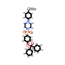 COc1ccc(N2CCN(S(=O)(=O)c3ccc4c(c3)OC(c3ccccc3)(c3ccccc3)O4)CC2)cc1